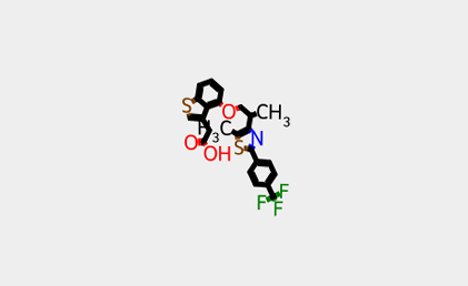 Cc1sc(-c2ccc(C(F)(F)F)cc2)nc1C(C)COc1cccc2scc(CC(=O)O)c12